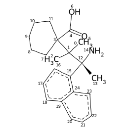 CC(C)(C1(C(=O)O)CCCCC1)[C@](C)(N)c1cccc2ccccc12